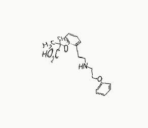 CC(C)(Oc1ccccc1CCNCCOc1ccccc1)C(=O)O